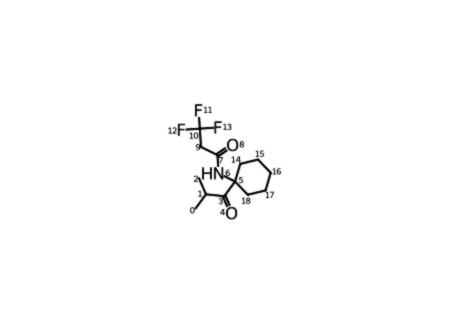 CC(C)C(=O)C1(NC(=O)CC(F)(F)F)CCCCC1